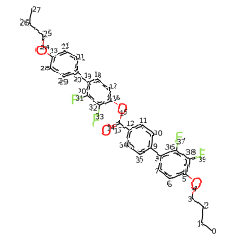 CCCCOc1ccc(-c2ccc(C(=O)Oc3ccc(-c4ccc(OCCC)cc4)c(F)c3F)cc2)c(F)c1F